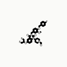 COc1cc(Cn2c(=O)c3cc(OC(CF)CF)ccc3n(C3CCN(C=O)CC3)c2=O)ccc1OCc1ccc(F)cc1